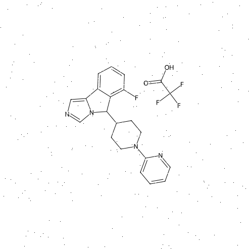 Fc1cccc2c1C(C1CCN(c3ccccn3)CC1)n1cncc1-2.O=C(O)C(F)(F)F